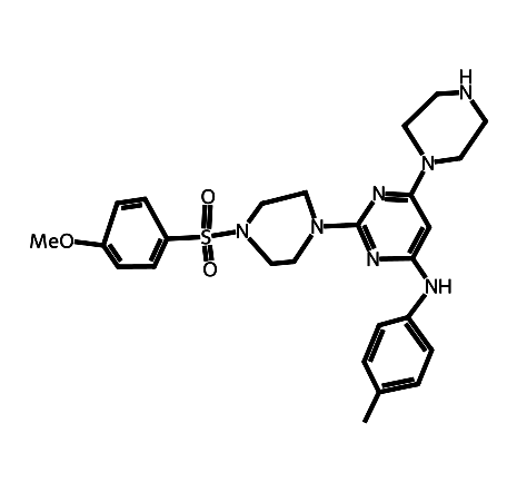 COc1ccc(S(=O)(=O)N2CCN(c3nc(Nc4ccc(C)cc4)cc(N4CCNCC4)n3)CC2)cc1